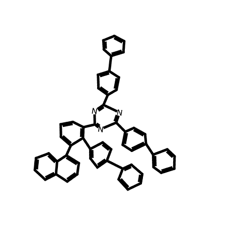 c1ccc(-c2ccc(-c3nc(-c4ccc(-c5ccccc5)cc4)nc(-c4cccc(-c5cccc6ccccc56)c4-c4ccc(-c5ccccc5)cc4)n3)cc2)cc1